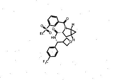 CCS(=O)(=O)c1cccc(C(=O)N2[C@@H](C(=O)N[C@@H](c3ccc(C(F)(F)F)cc3)C3COC3)C[C@H]3C[C@H]32)c1